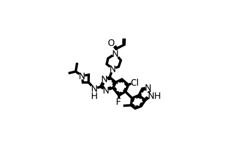 C=CC(=O)N1CCN(c2nc(NC3CN(C(C)C)C3)nc3c(F)c(-c4c(C)ccc5[nH]ncc45)c(Cl)cc23)CC1